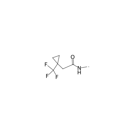 [CH2]NC(=O)CC1(C(F)(F)F)CC1